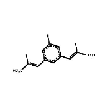 C/C(=C\c1cc(C)cc(/C=C(\C)C(=O)O)c1)C(=O)O